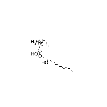 CCCCCCCCCC(O)CCCOP(O)OCCC[N+](C)(C)C